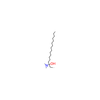 [CH2]CC(O)(CCCCCCCCCCCCCC)N(C)C